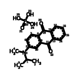 CC(C)N(C)c1ccc2c(c1)C(=O)c1ccccc1C2=O.O=P(O)(O)O